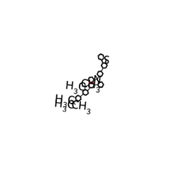 CC(C)(C)c1ccc(-c2ccc3c(c2)C(C)(C)c2ccc(-c4ccccc4N(c4ccccc4)c4ccc(-c5ccc6sc7ccccc7c6c5)cc4)cc2-3)cc1